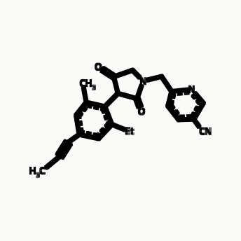 CC#Cc1cc(C)c(C2C(=O)CN(Cc3ccc(C#N)cn3)C2=O)c(CC)c1